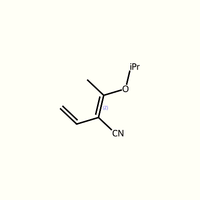 C=C/C(C#N)=C(\C)OC(C)C